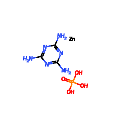 Nc1nc(N)nc(N)n1.O=P(O)(O)O.[Zn]